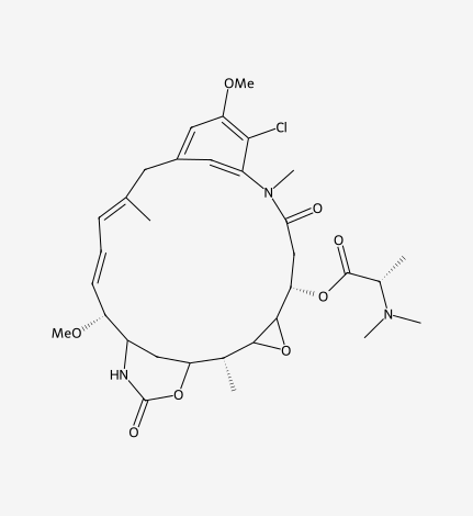 COc1cc2cc(c1Cl)N(C)C(=O)C[C@H](OC(=O)[C@H](C)N(C)C)C1OC1[C@H](C)C1CC(NC(=O)O1)[C@H](OC)/C=C/C=C(\C)C2